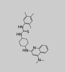 Cc1cc(C)c(NC(=S)NC2CCC(Nc3cc(N(C)C)c4ccccc4n3)CC2)cc1C